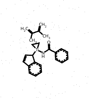 C=C(C)C(=C)C.O=C([NH][Ti]1([CH]2C=Cc3ccccc32)[CH2][CH2]1)c1ccccc1